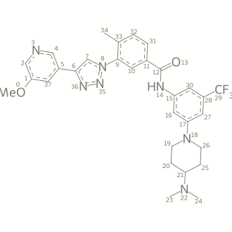 COc1cncc(-c2cn(-c3cc(C(=O)Nc4cc(N5CCC(N(C)C)CC5)cc(C(F)(F)F)c4)ccc3C)nn2)c1